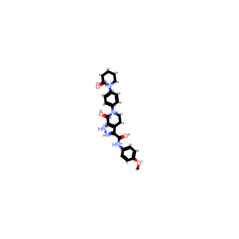 COc1ccc(NC(=O)c2n[nH]c3c2CCN(c2ccc(N4CCCCC4=O)cc2)C3=O)cc1